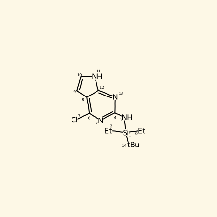 CC[Si](CC)(Nc1nc(Cl)c2cc[nH]c2n1)C(C)(C)C